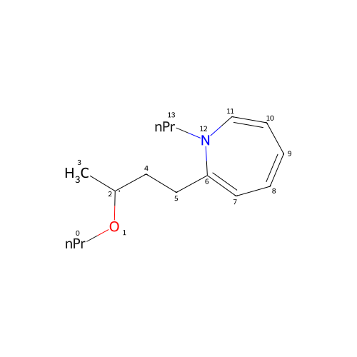 CCCO[C](C)CCC1=CC=CC=CN1CCC